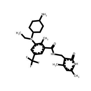 CCN(c1cc(C(F)(F)F)cc(C(=O)NCc2c(C)cc(C)[nH]c2=O)c1C)C1CCC(N)CC1